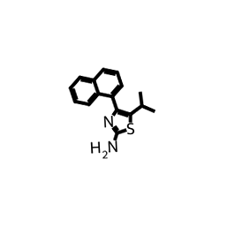 CC(C)c1sc(N)nc1-c1cccc2ccccc12